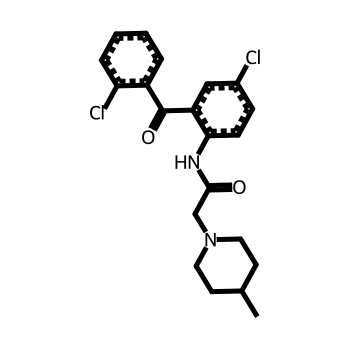 CC1CCN(CC(=O)Nc2ccc(Cl)cc2C(=O)c2ccccc2Cl)CC1